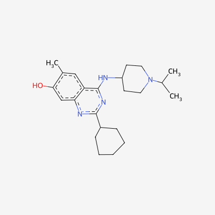 Cc1cc2c(NC3CCN(C(C)C)CC3)nc(C3CCCCC3)nc2cc1O